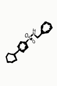 O=S(=O)(NCc1ccccc1)c1ccc(C2CCCCC2)cc1